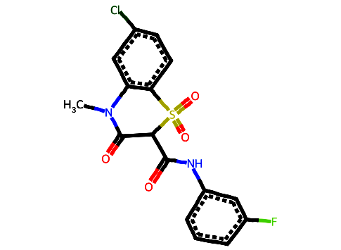 CN1C(=O)C(C(=O)Nc2cccc(F)c2)S(=O)(=O)c2ccc(Cl)cc21